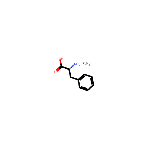 N[C@@H](Cc1ccccc1)C(=O)O.[PbH2]